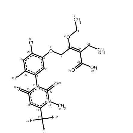 CCOC(COc1cc(-n2c(=O)cc(C(F)(F)F)n(C)c2=O)c(F)cc1Cl)=C(CC)C(=O)O